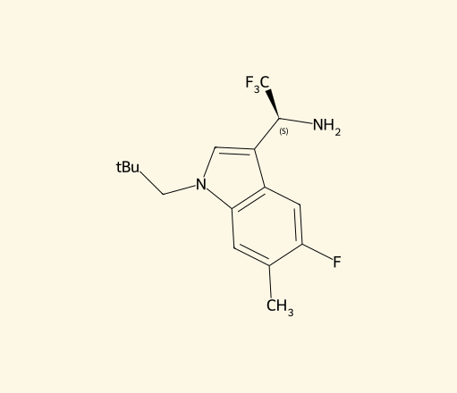 Cc1cc2c(cc1F)c([C@H](N)C(F)(F)F)cn2CC(C)(C)C